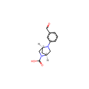 O=Cc1cccc(N2C[C@@H]3C[C@H]2CN3C(=O)O)c1